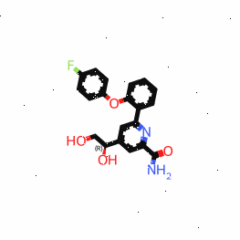 NC(=O)c1cc([C@@H](O)CO)cc(-c2ccccc2Oc2ccc(F)cc2)n1